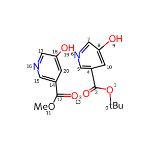 CC(C)(C)OC(=O)c1cncc(O)c1.COC(=O)c1cncc(O)c1